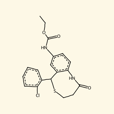 CCOC(=O)Nc1ccc2c(c1)C(c1ccccc1Cl)SCCC(=O)N2